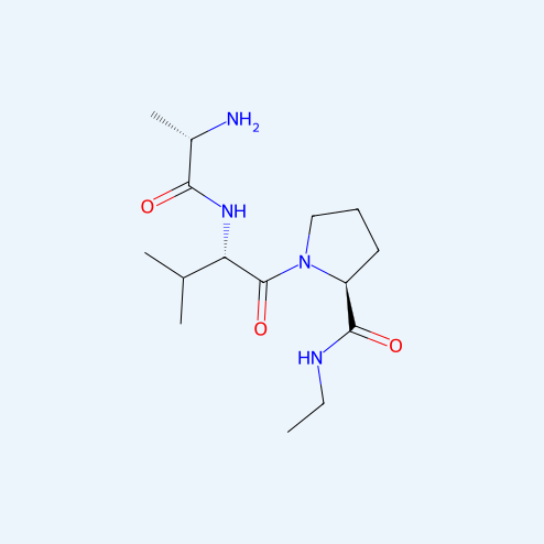 CCNC(=O)[C@@H]1CCCN1C(=O)[C@@H](NC(=O)[C@H](C)N)C(C)C